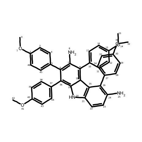 COc1ccc(-c2c(N)c(-c3ccc(OC)cc3)c3c([nH]c4ccc(N)c(-c5ccc(OC)cc5)c43)c2-c2ccc(OC)cc2)cc1